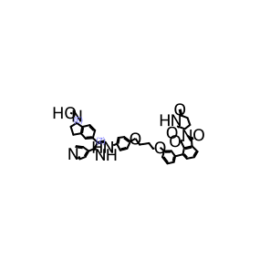 N=C(/C(=C\Nc1ccc(OCCCOc2cccc(-c3cccc4c3C(=O)N(C3CCC(=O)NC3=O)C4=O)c2)cc1)c1ccc2c(c1)CC/C2=N\O)c1ccncc1